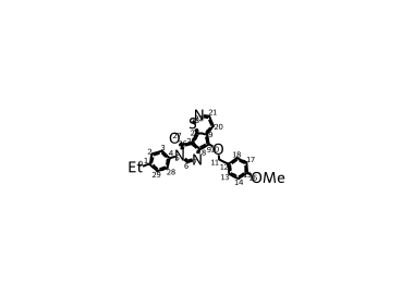 CCc1ccc(-n2cnc3c(OCc4ccc(OC)cc4)c4ccnsc-4c3c2=O)cc1